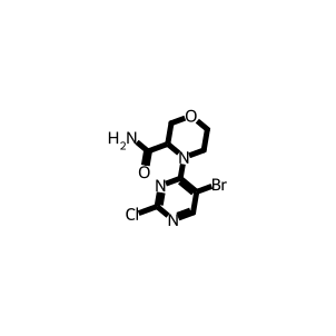 NC(=O)C1COCCN1c1nc(Cl)ncc1Br